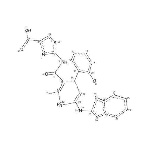 CC1=C(C(=O)Nc2nc(C(=O)O)cs2)C(c2ccccc2Cl)N=C(Nc2nc3ccccc3o2)N1